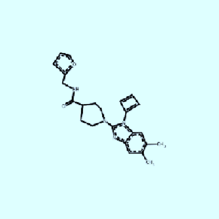 Cc1cc2nc(N3CCC(C(=O)NCc4ccco4)CC3)n(C3=CC=C3)c2cc1C